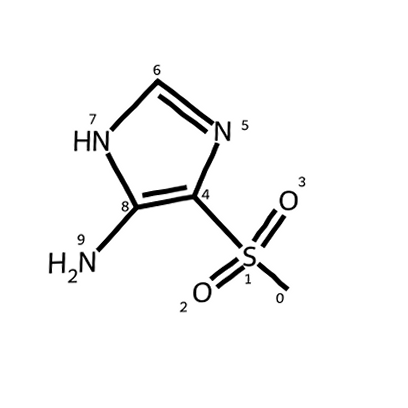 CS(=O)(=O)c1nc[nH]c1N